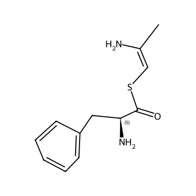 CC(N)=CSC(=O)[C@@H](N)Cc1ccccc1